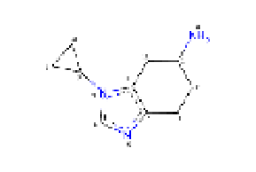 NC1CCc2ncn(C3CC3)c2C1